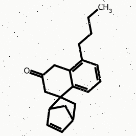 CCCCc1cccc2c1CC(=O)CC21CC2C=CC1C2